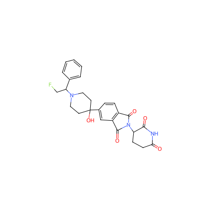 O=C1CCC(N2C(=O)c3ccc(C4(O)CCN(C(CF)c5ccccc5)CC4)cc3C2=O)C(=O)N1